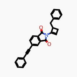 O=C1c2ccc(C#Cc3ccccc3)cc2C(=O)N1C1=CCC1Cc1ccccc1